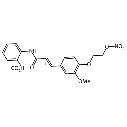 COc1cc(/C=C/C(=O)Nc2ccccc2C(=O)O)ccc1OCCO[N+](=O)[O-]